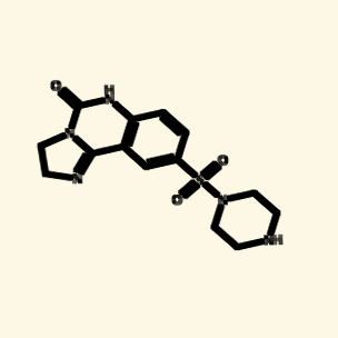 O=C1Nc2ccc(S(=O)(=O)N3CCNCC3)cc2C2=NCCN12